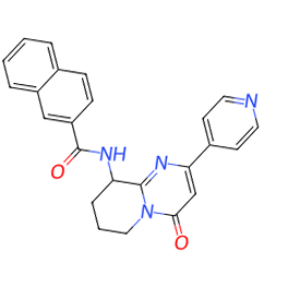 O=C(NC1CCCn2c1nc(-c1ccncc1)cc2=O)c1ccc2ccccc2c1